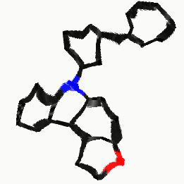 c1ccc(-c2cccc(-n3c4ccccc4c4c5ccoc5ccc43)c2)cc1